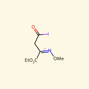 CCOC(=O)/C(CC(=O)I)=N\OC